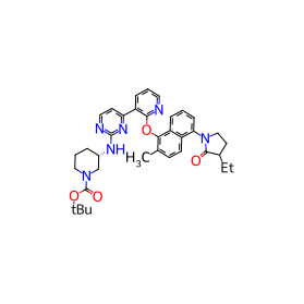 CCC1CCN(c2cccc3c(Oc4ncccc4-c4ccnc(N[C@H]5CCCN(C(=O)OC(C)(C)C)C5)n4)c(C)ccc23)C1=O